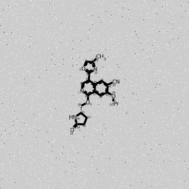 Cc1coc(-c2cnc(OC[C@@H]3CCC(=O)N3)c3cc(OC(C)C)c(C#N)cc23)n1